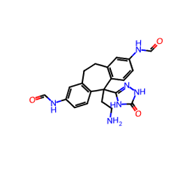 NCCC1(c2n[nH]c(=O)[nH]2)c2ccc(NC=O)cc2CCc2cc(NC=O)ccc21